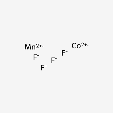 [Co+2].[F-].[F-].[F-].[F-].[Mn+2]